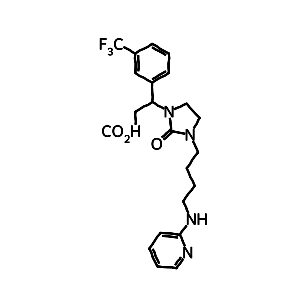 O=C(O)CC(c1cccc(C(F)(F)F)c1)N1CCN(CCCCNc2ccccn2)C1=O